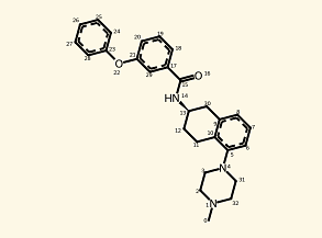 CN1CCN(c2cccc3c2CC[C@@H](NC(=O)c2cccc(Oc4ccccc4)c2)C3)CC1